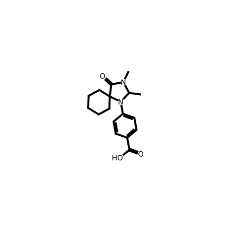 CC1N(C)C(=O)C2(CCCCC2)N1c1ccc(C(=O)O)cc1